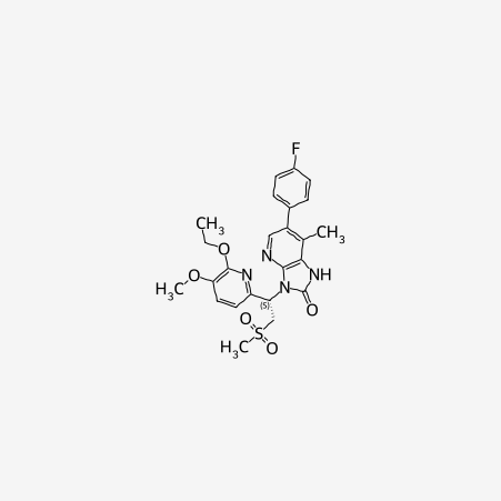 CCOc1nc([C@@H](CS(C)(=O)=O)n2c(=O)[nH]c3c(C)c(-c4ccc(F)cc4)cnc32)ccc1OC